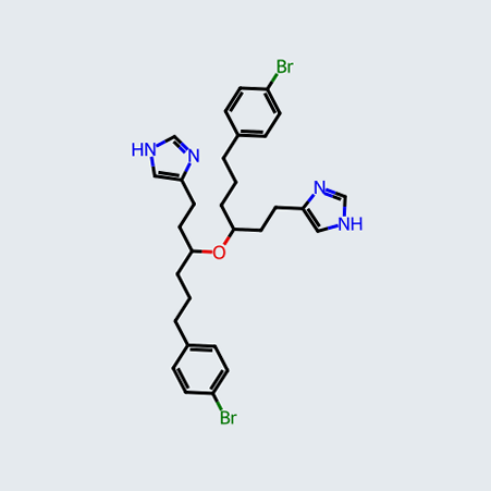 Brc1ccc(CCCC(CCc2c[nH]cn2)OC(CCCc2ccc(Br)cc2)CCc2c[nH]cn2)cc1